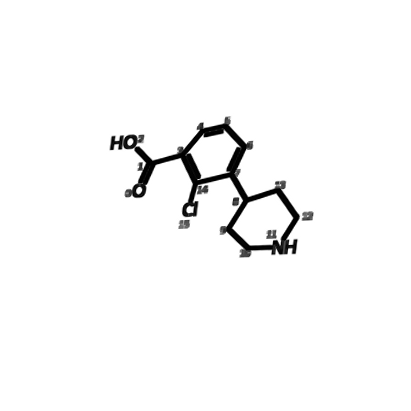 O=C(O)c1cccc(C2CCNCC2)c1Cl